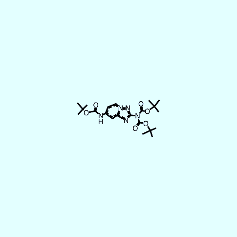 CC(C)(C)OC(=O)Nc1ccn2nc(N(C(=O)OC(C)(C)C)C(=O)OC(C)(C)C)nc2c1